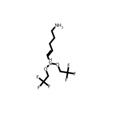 NCCCC=C[SiH](OCC(F)(F)F)OCC(F)(F)F